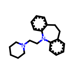 c1ccc2c(c1)CCc1ccccc1N2CCN1CCCCC1